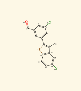 Cc1c(-c2cc(Cl)cc(C=O)c2)sc2ccc(F)cc12